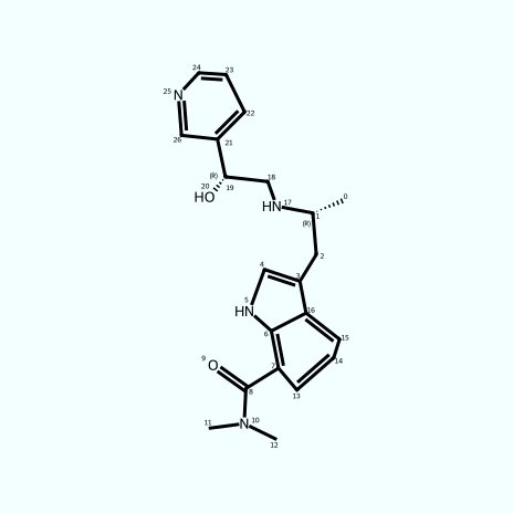 C[C@H](Cc1c[nH]c2c(C(=O)N(C)C)cccc12)NC[C@H](O)c1cccnc1